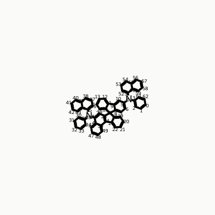 c1ccc(N(c2ccc3c(c2)-c2ccccc2C32c3ccccc3-c3c2cc(N(c2ccccc2)c2cccc4ccccc24)c2ccccc32)c2cccc3ccccc23)cc1